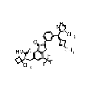 CC1CC(=C(c2cccc(N3Cc4c(cc(CN(C(=O)O)C5(C)CCC5)cc4C(F)(F)F)C3=O)c2)c2nncn2C)C1